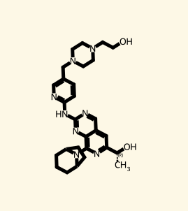 C[C@@H](O)c1cc2cnc(Nc3ccc(CN4CCN(CCO)CC4)cn3)nc2c(N2C3CCCC2CC3)n1